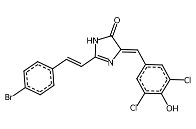 O=C1NC(/C=C/c2ccc(Br)cc2)=NC/1=C\c1cc(Cl)c(O)c(Cl)c1